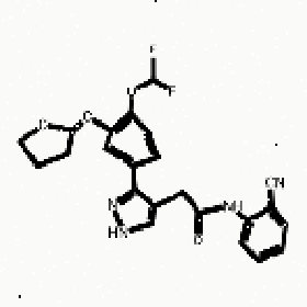 N#Cc1ccccc1NC(=O)Cc1c[nH]nc1-c1ccc(OC(F)F)c(OC2CCCO2)c1